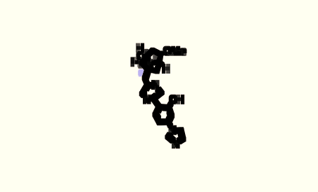 CO[C@@H]1C[C@]2(C)N[C@H]1C/C(=C\c1cnc(-c3ccc(-n4ccnc4)cc3O)cn1)[C@@H]2F